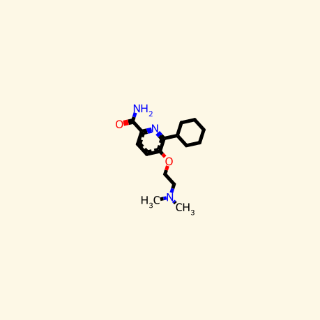 CN(C)CCOc1ccc(C(N)=O)nc1C1CCCCC1